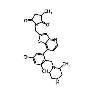 Cc1cc(Cl)cc(-c2ccnc3cc(CN4C(=O)CC(C)C4=O)sc23)c1CN1CCNCC1C